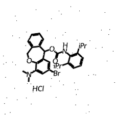 CC(C)c1cccc(C(C)C)c1NC(=O)OC1c2ccccc2COc2c1cc(Br)cc2N(C)C.Cl